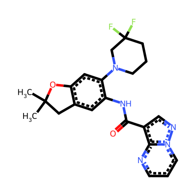 CC1(C)Cc2cc(NC(=O)c3cnn4cccnc34)c(N3CCCC(F)(F)C3)cc2O1